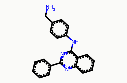 NCc1ccc(Nc2nc(-c3ccccc3)nc3ccccc23)cc1